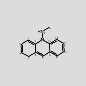 CNN1C2=CC=CCC2=Cc2ccccc21